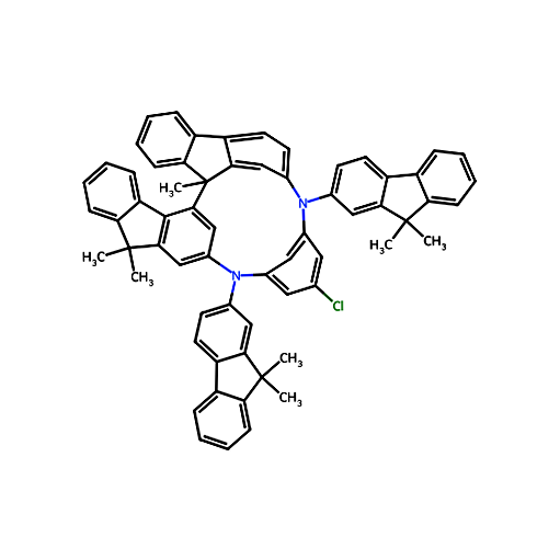 CC1(C)c2ccccc2-c2ccc(N3c4cc(Cl)cc(c4)N(c4ccc5c(c4)C(C)(C)c4ccccc4-5)c4cc5c(c(c4)C4(C)c6ccccc6-c6ccc3cc64)-c3ccccc3C5(C)C)cc21